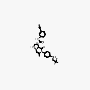 CC1=CN2NC[C@H](C(=O)Nc3cccc(C#N)c3)C2C(=O)N1c1ccc(NCC(F)(F)F)cc1